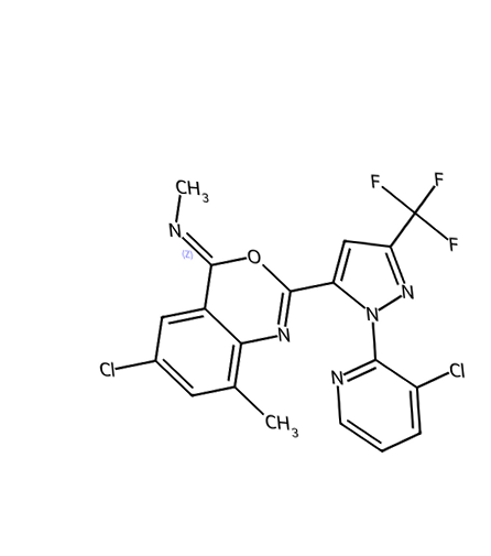 C/N=c1\oc(-c2cc(C(F)(F)F)nn2-c2ncccc2Cl)nc2c(C)cc(Cl)cc12